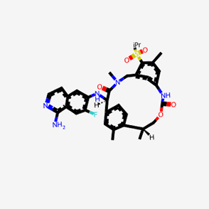 Cc1cc2ccc1[C@@H](C)COC(=O)Nc1cc(C)c(S(=O)(=O)C(C)C)c(c1)CN(C)C(=O)[C@@H]2Nc1cc2ccnc(N)c2cc1F